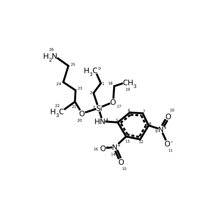 CCC[Si](Nc1ccc([N+](=O)[O-])cc1[N+](=O)[O-])(OCC)OC(C)CCCN